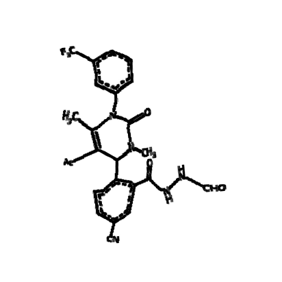 CC(=O)C1=C(C)N(c2cccc(C(F)(F)F)c2)C(=O)N(C)C1c1ccc(C#N)cc1C(=O)NNC=O